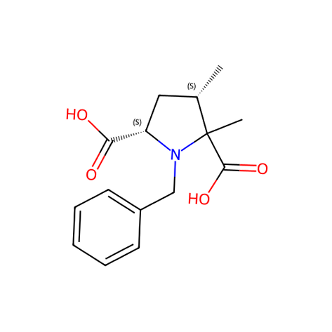 C[C@H]1C[C@@H](C(=O)O)N(Cc2ccccc2)C1(C)C(=O)O